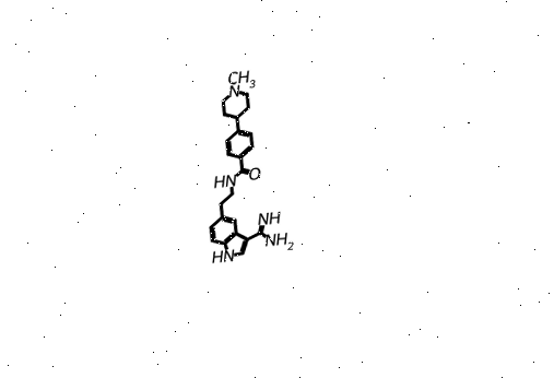 CN1CCC(c2ccc(C(=O)NCCc3ccc4[nH]cc(C(=N)N)c4c3)cc2)CC1